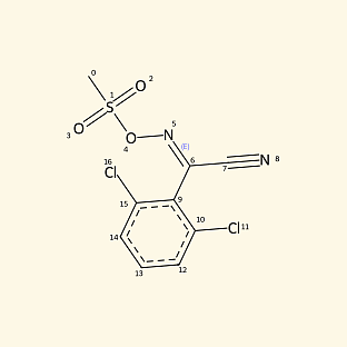 CS(=O)(=O)O/N=C(/C#N)c1c(Cl)cccc1Cl